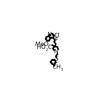 COc1ccc2ncc(Cl)c([C@H](F)CCC3(CC(=O)O)CCN(CCSc4cccc(C)c4)CC3)c2c1